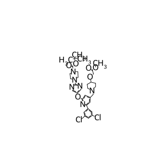 COC(=O)COC1CCN(Cc2cc(Oc3cnc(N4CCN(C(=O)OC(C)(C)C)CC4)nc3)nc(-c3cc(Cl)cc(Cl)c3)c2)CC1